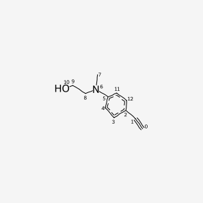 C#Cc1ccc(N(C)CCO)cc1